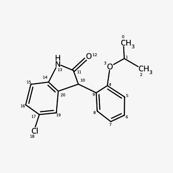 CC(C)Oc1ccccc1C1C(=O)Nc2ccc(Cl)cc21